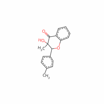 Cc1ccc(C2Oc3ccccc3C(=O)C2(C)O)cc1